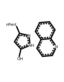 CCCCCc1cc(O)[nH]n1.c1ccc2ncccc2c1